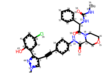 Cn1cc(C#Cc2ccc(NC(=O)[C@@H]3COCCN3C(=O)[C@H](NC(=O)NC(C)(C)C)c3ccccc3)cc2)c(-c2cc(Cl)ccc2O)n1